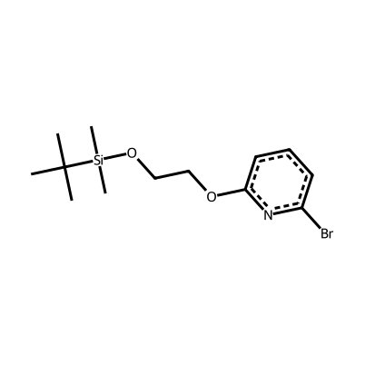 CC(C)(C)[Si](C)(C)OCCOc1cccc(Br)n1